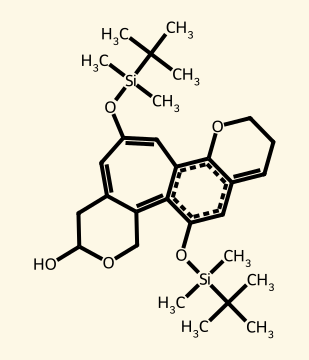 CC(C)(C)[Si](C)(C)OC1=Cc2c3c(cc(O[Si](C)(C)C(C)(C)C)c2=C2COC(O)CC2=C1)=CCCO3